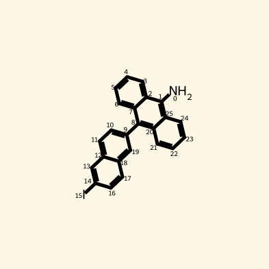 Nc1c2ccccc2c(-c2ccc3cc(I)ccc3c2)c2ccccc12